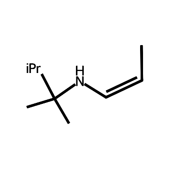 C/C=C\NC(C)(C)C(C)C